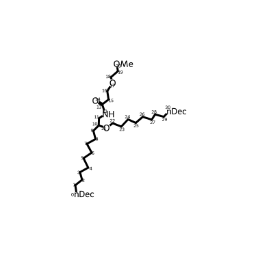 CCCCCCCCCCCCCCCCCCCC(CNC(=O)CCOCCOC)OCCCCCCCCCCCCCCCCCC